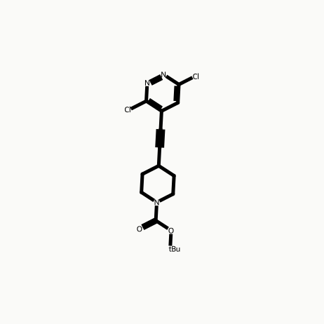 CC(C)(C)OC(=O)N1CCC(C#Cc2cc(Cl)nnc2Cl)CC1